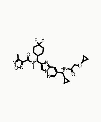 Cc1nonc1C(=O)N[C@H](c1cn2ncc([C@H](NC(=O)COC3CC3)C3CC3)cc2n1)C1CCC(F)(F)CC1